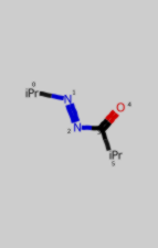 CC(C)/N=N/C(=O)C(C)C